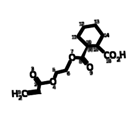 C=CC(=O)OCCOC(=O)[C@H]1CCCCC1C(=O)O